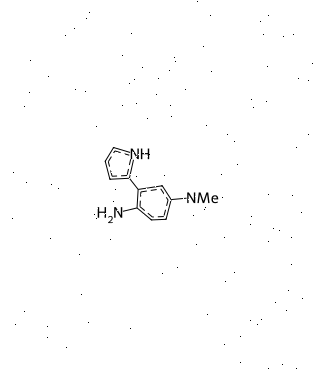 CNc1ccc(N)c(-c2ccc[nH]2)c1